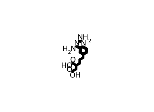 Nc1nc(N)c2cc(CCCC(CC(=O)O)C(=O)O)ccc2n1